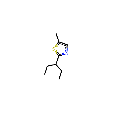 CCC(CC)c1ncc(C)s1